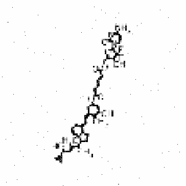 C=C1/C(=C\C=C2/CCC[C@@]3(C)C2CCC3[C@@H](C)/C=C/C(O)C2CC2)C[C@@H](OC(=O)CCCCC(=O)OCC2OC(n3ccc(N)nc3=O)C(F)(F)C2O)C[C@@H]1O